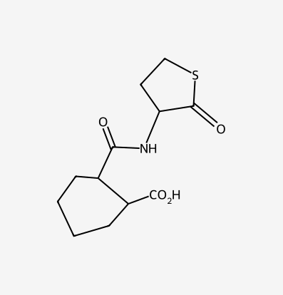 O=C1SCCC1NC(=O)C1CCCCC1C(=O)O